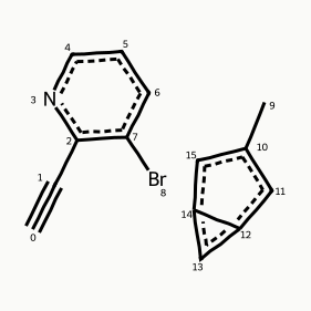 C#Cc1ncccc1Br.Cc1cc2cc-2c1